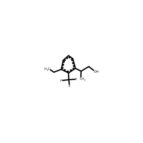 CCc1cccc([C](C)CO)c1C(F)(F)F